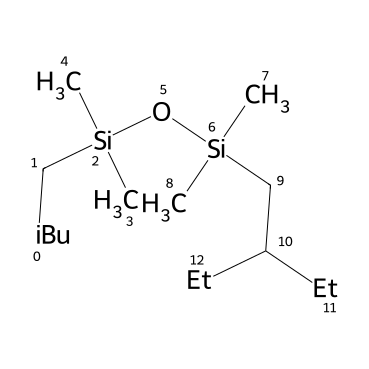 CCC(C)C[Si](C)(C)O[Si](C)(C)CC(CC)CC